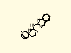 c1ccc2nc(NC3=NC4(CCO3)CN3CCC4CC3)ncc2c1